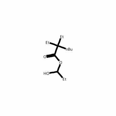 CCCCC(CC)(CC)C(=O)OC(O)CC